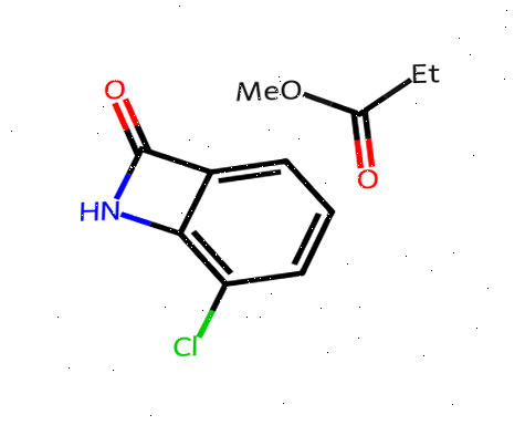 CCC(=O)OC.O=C1Nc2c(Cl)cccc21